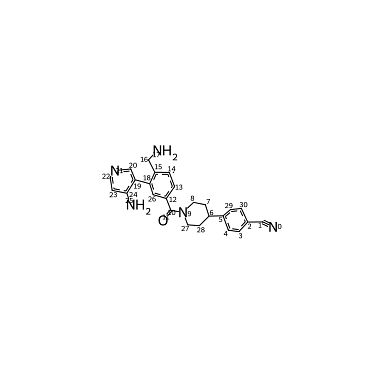 N#Cc1ccc(C2CCN(C(=O)c3c[c]c(CN)c(-c4cnccc4N)c3)CC2)cc1